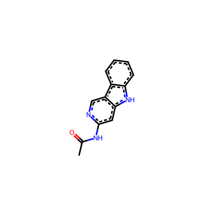 CC(=O)Nc1cc2[nH]c3ccccc3c2cn1